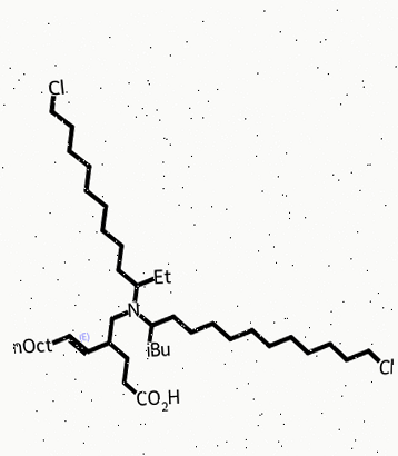 CCCCCCCC/C=C/C(CCC(=O)O)CN(C(CC)CCCCCCCCCCl)C(CCCCCCCCCCCCl)C(C)CC